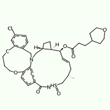 C[C@H]1C/C=C/[C@H](OC(=O)CCC2CCOCC2)[C@@H]2CC[C@H]2CN2Cc3ccc(Cl)cc3CCCCOc3ccc(cc32)C(=O)/N=[SH](=O)\C1